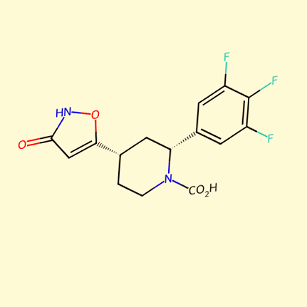 O=C(O)N1CC[C@H](c2cc(=O)[nH]o2)C[C@@H]1c1cc(F)c(F)c(F)c1